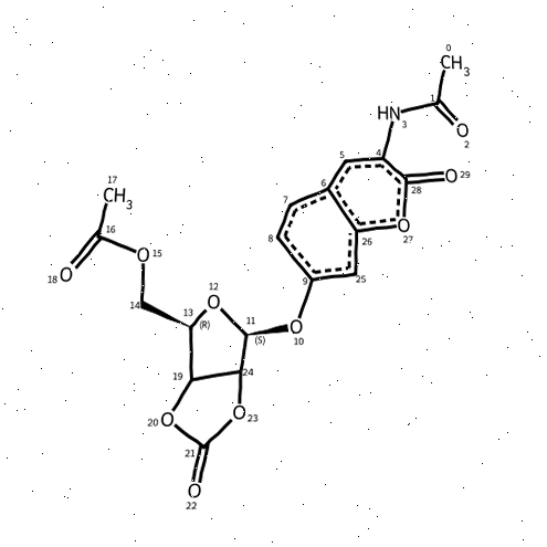 CC(=O)Nc1cc2ccc(O[C@@H]3O[C@H](COC(C)=O)C4OC(=O)OC43)cc2oc1=O